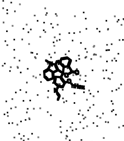 CC=Nc1ccc(C2(c3c(C)n(C)c4ccccc34)OC(=O)c3cccnc32)c(OCCCCCC)c1